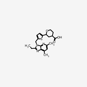 CCc1nc2c(C)cc(C)nc2n1Cc1ccc(C2CC(C(=O)O)CCO2)s1